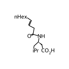 CCCCCC/C=C/CC(=O)N[C@@H](CC(=O)O)CC(C)C